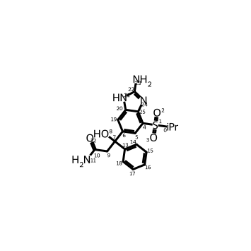 CC(C)S(=O)(=O)c1cc(C(O)(CC(N)=O)c2ccccc2)cc2[nH]c(N)nc12